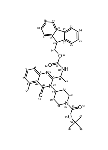 Cc1cccc2nc(C(C)NC(=O)OCC3c4ccccc4-c4ccccc43)n(C3CCN(C(=O)OC(C)(C)C)CC3)c(=O)c12